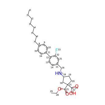 CCCCCCCCc1ccc(-c2ccc(CNC3CCC(C(=O)O)(C(=O)OCC)C3)cc2F)cc1